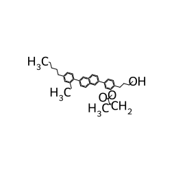 C=C(C)C(=O)Oc1cc(-c2ccc3cc(-c4ccc(CCCCC)cc4CC)ccc3c2)ccc1CCCO